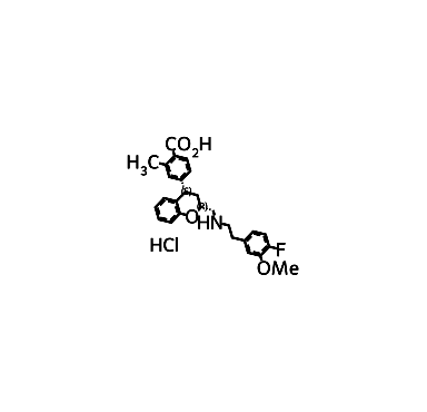 COc1cc(CCNC[C@H]2C[C@@H](c3ccc(C(=O)O)c(C)c3)c3ccccc3O2)ccc1F.Cl